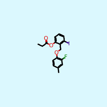 CCC(=O)Oc1cccc(I)c1COc1ccc(C)cc1F